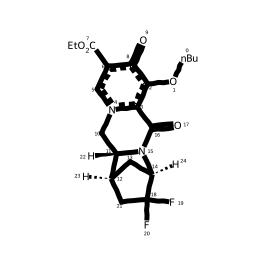 CCCCOc1c2n(cc(C(=O)OCC)c1=O)C[C@H]1[C@H]3C[C@@H](N1C2=O)C(F)(F)C3